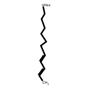 [CH2]CCCCCCCCCCCC=CC=CC